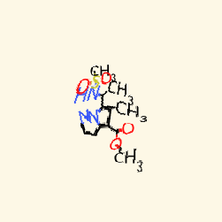 CCOC(=O)c1c(C)c(C(C)NS(C)(=O)=O)n2ncccc12